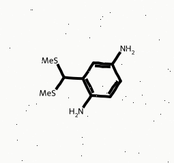 CSC(SC)c1cc(N)ccc1N